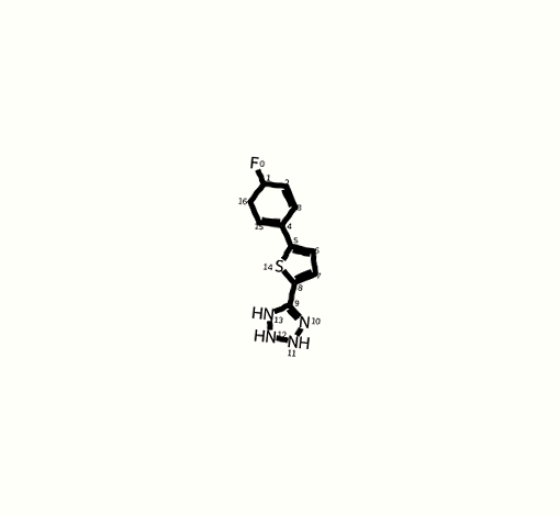 FC1C=CC(c2ccc(C3=NNNN3)s2)=CC1